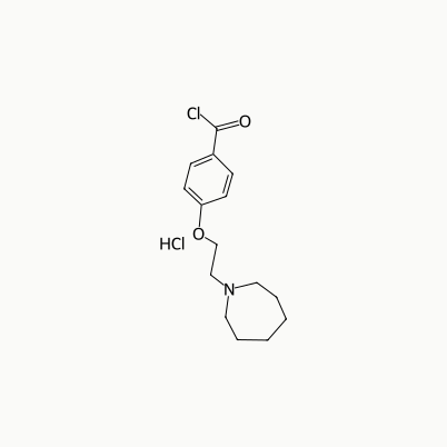 Cl.O=C(Cl)c1ccc(OCCN2CCCCCC2)cc1